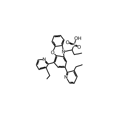 CCc1cccnc1-c1cc(-c2ncccc2CC)c2c(c1)N(C(CC)S(=O)(=O)O)c1ccccc1O2